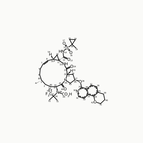 CC[C@@H]1C[C@H](C)CCC=C[C@@H]2C[C@@]2(C(=O)NS(=O)(=O)C2(C)CC2)NC(=O)[C@@H]2C[C@@H](Oc3nccc4c5c(ccc34)CCCO5)CN2C(=O)[C@H]1N(C(=O)O)C(C)(C)C(F)(F)F